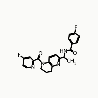 CC(NC(=O)c1ccc(F)cc1)c1ccc2c(n1)CCCN2C(=O)c1cc(F)ccn1